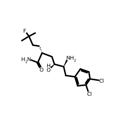 CC(C)(F)CC[C@H](C[C@H](O)[C@@H](N)Cc1ccc(Cl)c(Cl)c1)C(N)=O